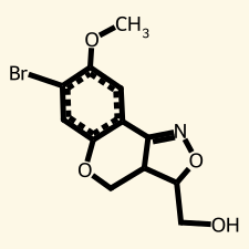 COc1cc2c(cc1Br)OCC1C2=NOC1CO